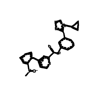 C[S+]([O-])c1ccccc1-c1ccnc(C(=O)Nc2cccc(-c3nncn3C3CC3)c2)c1